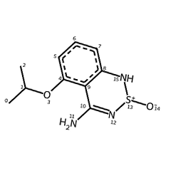 CC(C)Oc1cccc2c1C(N)=N[S+]([O-])N2